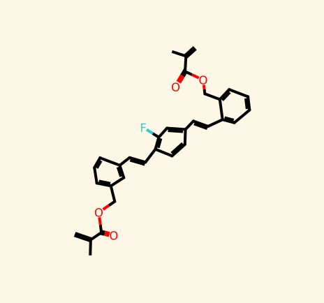 C=C(C)C(=O)OCc1cccc(/C=C/c2ccc(/C=C/c3ccccc3COC(=O)C(=C)C)cc2F)c1